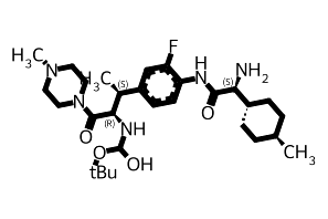 C[C@@H](c1ccc(NC(=O)[C@@H](N)[C@H]2CC[C@H](C)CC2)c(F)c1)[C@@H](NC(O)OC(C)(C)C)C(=O)N1CCN(C)CC1